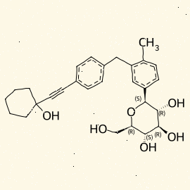 Cc1ccc([C@@H]2O[C@H](CO)[C@@H](O)[C@H](O)[C@H]2O)cc1Cc1ccc(C#CC2(O)CCCCC2)cc1